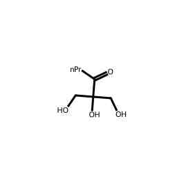 CCCC(=O)C(O)(CO)CO